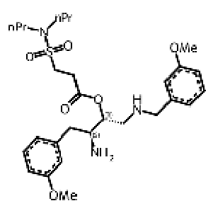 CCCN(CCC)S(=O)(=O)CCC(=O)O[C@H](CNCc1cccc(OC)c1)[C@@H](N)Cc1cccc(OC)c1